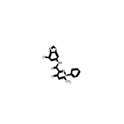 Cc1cc(=O)c(C(=O)Nc2cc(Cl)c3ncsc3c2)nn1-c1ccccc1